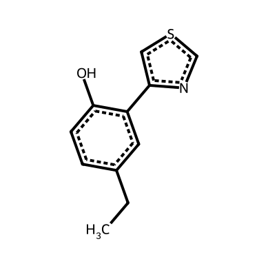 CCc1ccc(O)c(-c2cscn2)c1